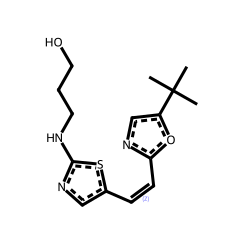 CC(C)(C)c1cnc(/C=C\c2cnc(NCCCO)s2)o1